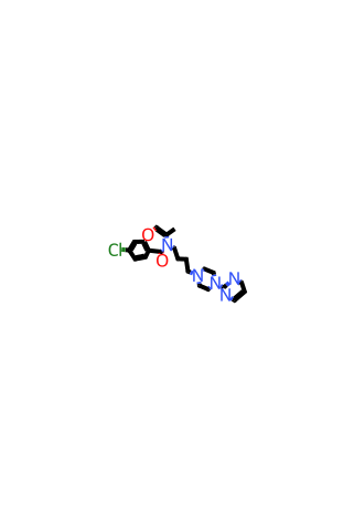 CC1=COc2cc(Cl)ccc2C(=O)N1CCCCN1CCN(c2ncccn2)CC1